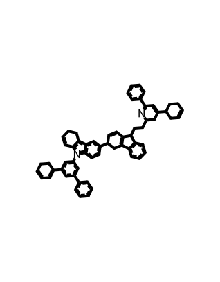 C1=CCCC(c2cc(-c3ccccc3)cc(-n3c4c(c5cc(C6C=CC7=C(C6)c6ccccc6C7CCC6CC(C7CC=CCC7)=CC(c7ccccc7)=N6)ccc53)CCC=C4)c2)=C1